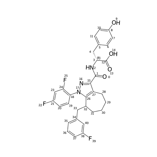 O=C(N[C@H](Cc1ccc(O)cc1)C(=O)O)c1nn(-c2ccc(F)cc2F)c2c1CCCCC2Cc1cccc(F)c1